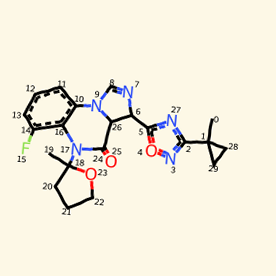 CC1(c2noc(C3N=CN4c5cccc(F)c5N(C5(C)CCCO5)C(=O)C34)n2)CC1